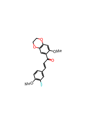 COc1ccc(C=CC(=O)c2cc3c(cc2OC)OCCO3)cc1F